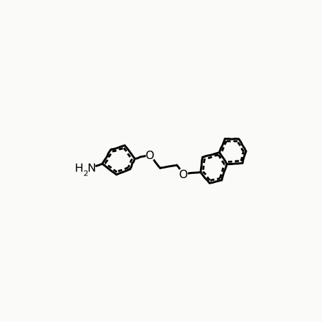 Nc1ccc(OCCOc2ccc3ccccc3c2)cc1